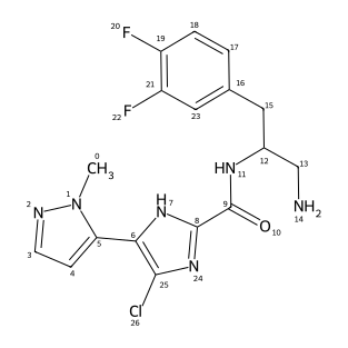 Cn1nccc1-c1[nH]c(C(=O)NC(CN)Cc2ccc(F)c(F)c2)nc1Cl